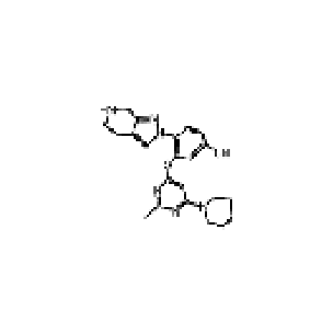 Cc1nc(Oc2cc(C#N)ccc2-n2cc3c(n2)CNCC3)cc(N2CCCCC2)n1